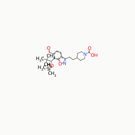 C[SiH](C)OC(c1c(C=O)ccc2c(CCC3CCN(C(=O)O)CC3)noc12)C(C)(C)C